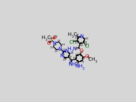 COc1cc(N)c(C(=N)c2cnc(N3CCN(S(C)(=O)=O)CC3)nc2)cc1O[C@H](N)c1c(Cl)cnc(C)c1Cl